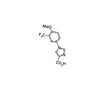 COc1ccc(-n2cnc(C(=O)O)c2)cc1C(F)(F)F